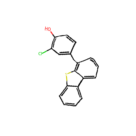 Oc1ccc(-c2cccc3c2sc2ccccc23)cc1Cl